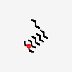 CCCC.CCCC.CCCC.CCCC.CCCC.CCOCC